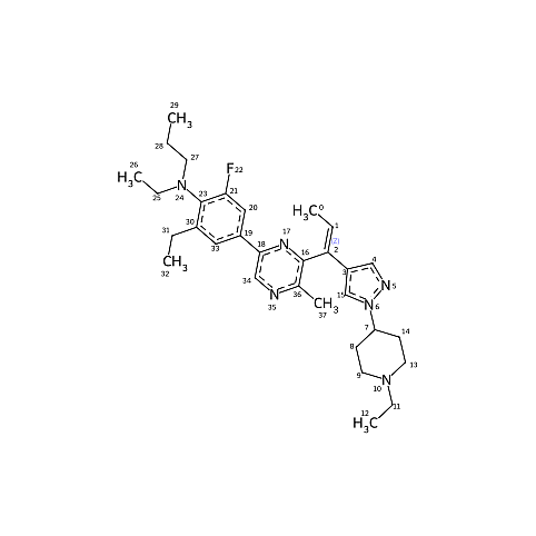 C/C=C(/c1cnn(C2CCN(CC)CC2)c1)c1nc(-c2cc(F)c(N(CC)CCC)c(CC)c2)cnc1C